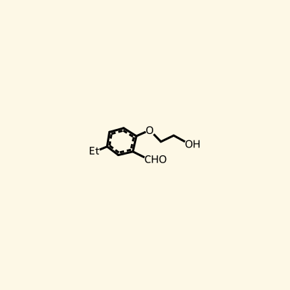 CCc1ccc(OCCO)c(C=O)c1